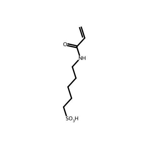 C=CC(=O)NCCCCCS(=O)(=O)O